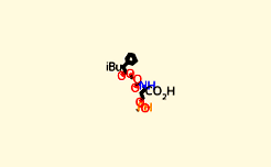 CCC(C)C(C(=O)OCOC(=O)NC(CCO[PH](C)=O)C(=O)O)c1ccccc1